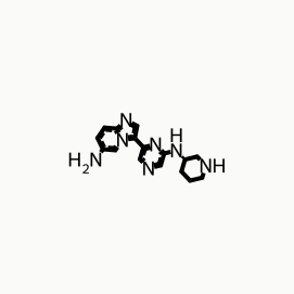 Nc1ccc2ncc(-c3cncc(N[C@@H]4CCCNC4)n3)n2c1